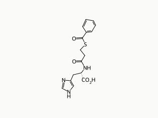 O=C(CCSC(=O)c1ccccc1)N[C@@H](Cc1c[nH]cn1)C(=O)O